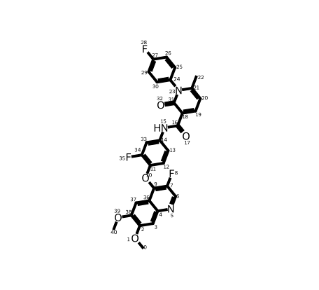 COc1cc2ncc(F)c(Oc3ccc(NC(=O)c4ccc(C)n(-c5ccc(F)cc5)c4=O)cc3F)c2cc1OC